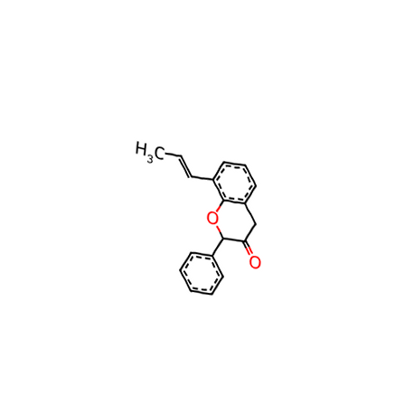 CC=Cc1cccc2c1OC(c1ccccc1)C(=O)C2